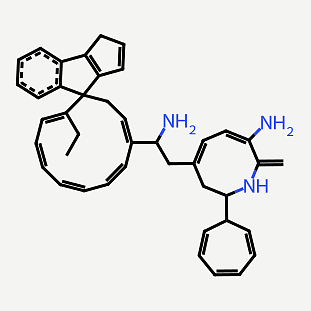 C=C1NC(C2C=CC=CC=C2)C/C(CC(N)C2=C/CC3(C4=C(CC=C4)c4ccccc43)/C(CC)=C/C=C\C=C/C=C\2)=C\C=C/1N